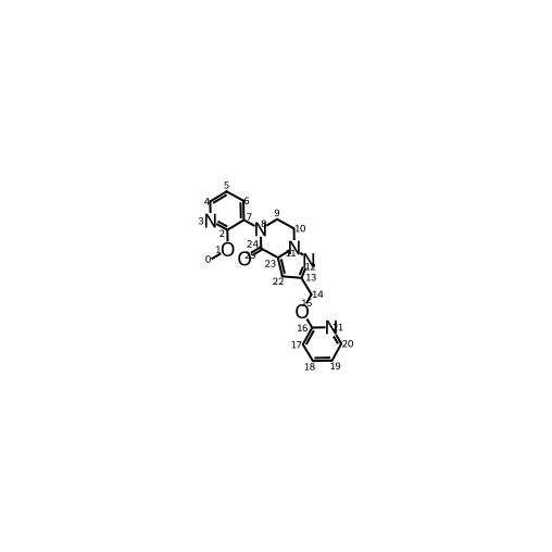 COc1ncccc1N1CCn2nc(COc3ccccn3)cc2C1=O